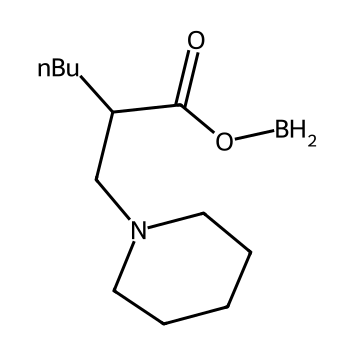 BOC(=O)C(CCCC)CN1CCCCC1